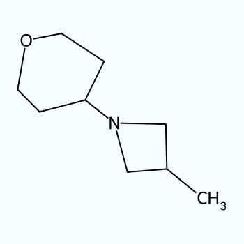 CC1CN(C2CCOCC2)C1